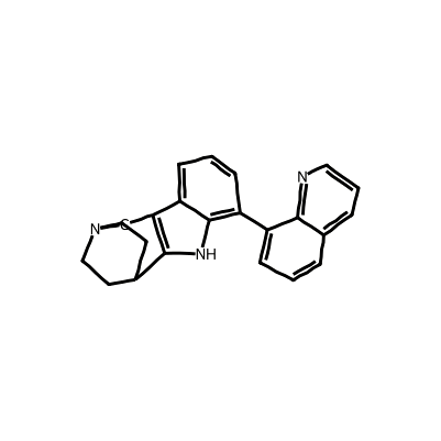 c1cnc2c(-c3cccc4c5c([nH]c34)C3CCN(CC3)C5)cccc2c1